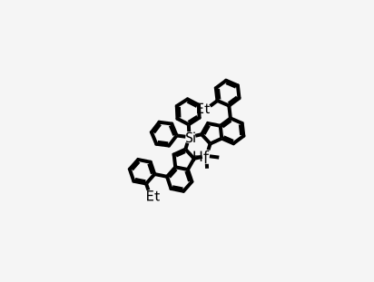 CCc1ccccc1-c1cccc2c1C=C1[CH]2[Hf]([CH3])([CH3])[CH]2C(=Cc3c(-c4ccccc4CC)cccc32)[Si]1(c1ccccc1)c1ccccc1